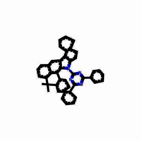 CC1(C)c2ccccc2-c2c3c1cccc3cc1c3c4ccccc4ccc3n(-c3nc(-c4ccccc4)nc(-c4ccccc4)n3)c21